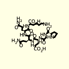 NCCCC[C@H](NC(=O)[C@H](CCC(N)=O)NC(=O)[C@H](CCC(N)=O)NC(=O)[C@H](CCC(=O)O)NC(=O)CNC(=O)[C@@H]1CCCN1)C(=O)O